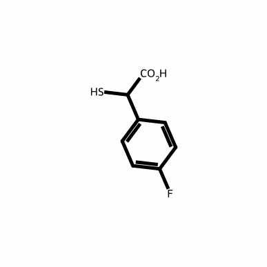 O=C(O)C(S)c1ccc(F)cc1